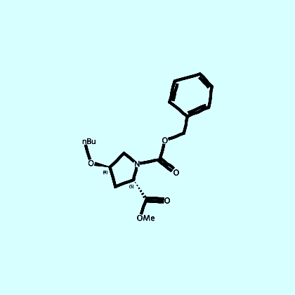 CCCCO[C@@H]1C[C@@H](C(=O)OC)N(C(=O)OCc2ccccc2)C1